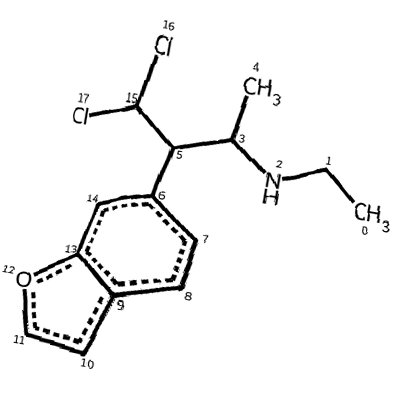 CCNC(C)C(c1ccc2ccoc2c1)C(Cl)Cl